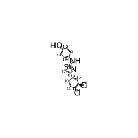 Oc1ccc(Nc2nc(-c3ccc(Cl)c(Cl)c3)cs2)cc1